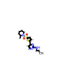 CC1CCCCN1S(=O)(=O)c1ccc(-c2ccnc(NCCC#N)n2)s1